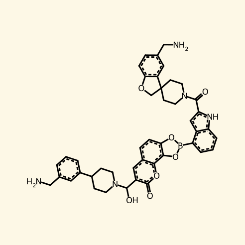 NCc1cccc(C2CCN(C(O)c3cc4ccc5c(c4oc3=O)OB(c3cccc4[nH]c(C(=O)N6CCC7(CC6)COc6ccc(CN)cc67)cc34)O5)CC2)c1